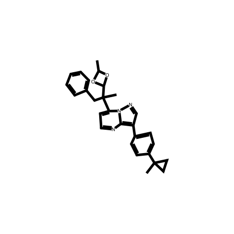 CC1OC(C(C)(Cc2ccccc2)c2ccnc3c(-c4ccc(C5(C)CC5)cc4)cnn23)O1